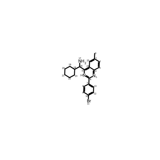 Cc1ccc2nc(-c3ccc(Br)cc3)nc(C(N)C3CCCCC3)c2c1